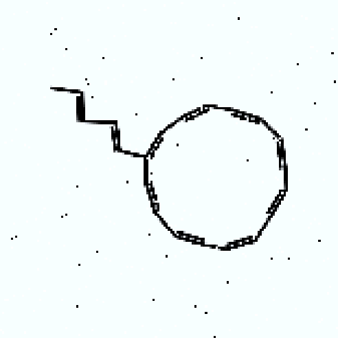 CC=CC=CC1=CC=CC=CC=CC=CC=CC=CC=C1